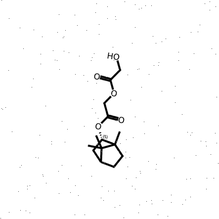 CC1(C)C2CCC1(C)[C@@H](OC(=O)COC(=O)CO)C2